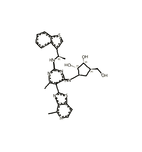 Cc1nc(N[C@H](C)c2csc3ccccc23)nc(NC2C[C@H](CO)[C@@H](O)[C@H]2O)c1-c1nc2c(C)nccc2s1